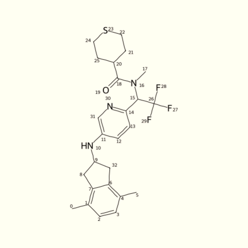 Cc1ccc(C)c2c1CC(Nc1ccc(C(N(C)C(=O)C3CCSCC3)C(F)(F)F)nc1)C2